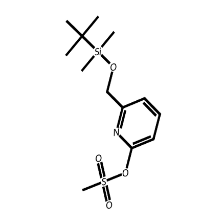 CC(C)(C)[Si](C)(C)OCc1cccc(OS(C)(=O)=O)n1